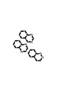 c1ccc2nccnc2c1.c1ccc2ncncc2c1.c1ccc2nnccc2c1